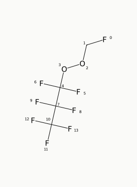 FCOOC(F)(F)C(F)(F)C(F)(F)F